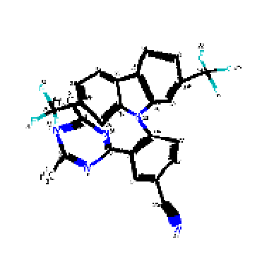 Cc1nc(C)nc(-c2cc(C#N)ccc2-n2c3cc(C(F)(F)F)ccc3c3ccc(C(F)(F)F)cc32)n1